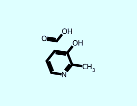 Cc1ncccc1O.O=CO